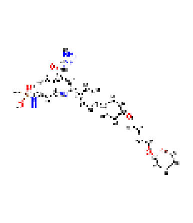 CS(=O)(=O)Nc1ccc2c(C(=O)NN)cc(-c3ccc(-c4ccc(OCCCCOC5CCCCO5)cc4)cc3)nc2c1